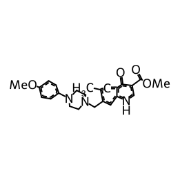 COC(=O)c1c[nH]c2cc(CN3CCN(c4ccc(OC)cc4)CC3)c(C)cc2c1=O